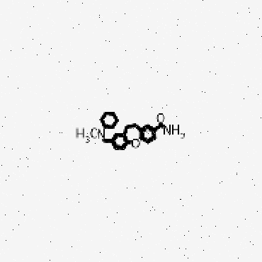 CN(Cc1ccc2c(c1)CCc1cc(C(N)=O)ccc1O2)C1CCCCC1